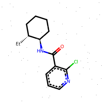 CC[C@@H]1CCCC[C@H]1NC(=O)c1cccnc1Cl